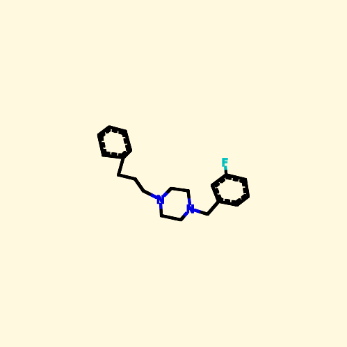 Fc1cccc(CN2CCN(CCCc3ccccc3)CC2)c1